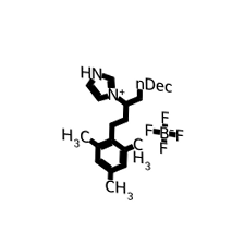 CCCCCCCCCCCC(CCc1c(C)cc(C)cc1C)[n+]1cc[nH]c1.F[B-](F)(F)F